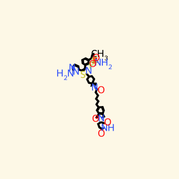 CCC(c1cccc(-c2nc(C3CCC4(CC3)CN(C(=O)CCCCCc3ccc5c(c3)C(=O)N(C3CCC(=O)NC3=O)C5)C4)sc2-c2ccnc(N)n2)c1F)S(N)(=O)=O